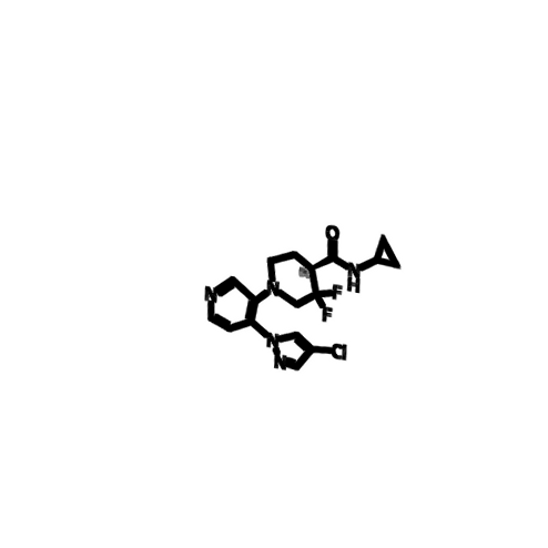 O=C(NC1CC1)[C@@H]1CCN(c2cnccc2-n2cc(Cl)cn2)CC1(F)F